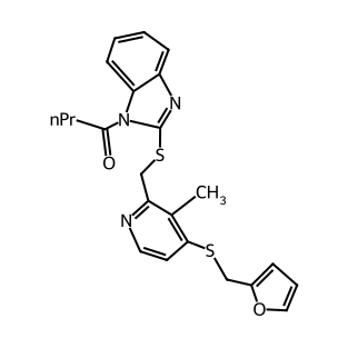 CCCC(=O)n1c(SCc2nccc(SCc3ccco3)c2C)nc2ccccc21